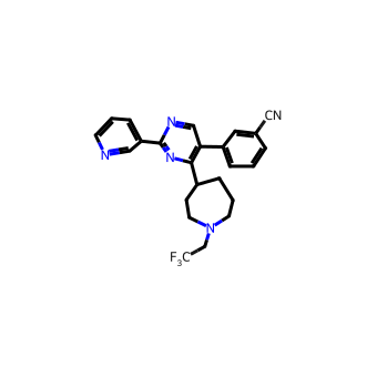 N#Cc1cccc(-c2cnc(-c3cccnc3)nc2C2CCCN(CC(F)(F)F)CC2)c1